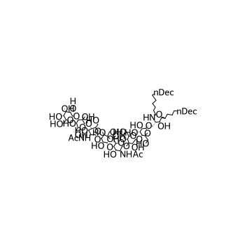 CCCCCCCCCCCCC/C=C/[C@@H](O)[C@H](CO[C@@H]1OC(CO)[C@@H](O[C@@H]2OC(CO)[C@H](O)[C@H](O[C@@H]3OC(CO)[C@@H](O[C@@H]4OC(CO)[C@H](O)[C@H](O[C@@H]5OC(CO)[C@@H](O[C@@H]6OC(CO)[C@H](O)[C@H](O[C@H]7OC(CO)[C@H](O)[C@H](O)C7O)C6O)[C@H](O)C5NC(C)=O)C4O)[C@H](O)C3NC(C)=O)C2O)[C@H](O)C1O)NC(=O)CCCCCCCCCCCCCCC